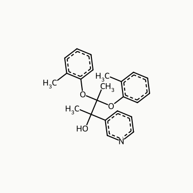 Cc1ccccc1OC(C)(Oc1ccccc1C)C(C)(O)c1cccnc1